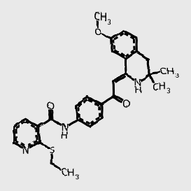 CCSc1ncccc1C(=O)Nc1ccc(C(=O)C=C2NC(C)(C)Cc3ccc(OC)cc32)cc1